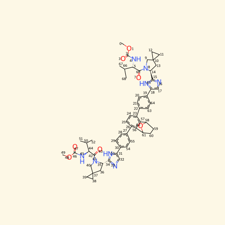 COC(=O)N[C@H](C(=O)N1CC2(CC2)C[C@H]1c1ncc(-c2ccc(-c3ccc(-c4ccc(-c5cnc([C@@H]6CC7(CC7)CN6C(=O)[C@@H](NC(=O)OC)C(C)C)[nH]5)cc4)c4c3C3CCC4O3)cc2)[nH]1)C(C)C